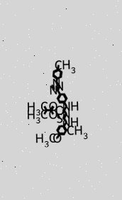 COc1ccc(N/C(=N/C(=O)Nc2ccc(-c3ncn(-c4ccc(C)cc4)n3)cc2)SCOC(=O)C(C)C)c(C)c1